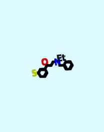 CCN(CCC(=O)C1=CC(=S)CC=C1)Cc1ccccc1